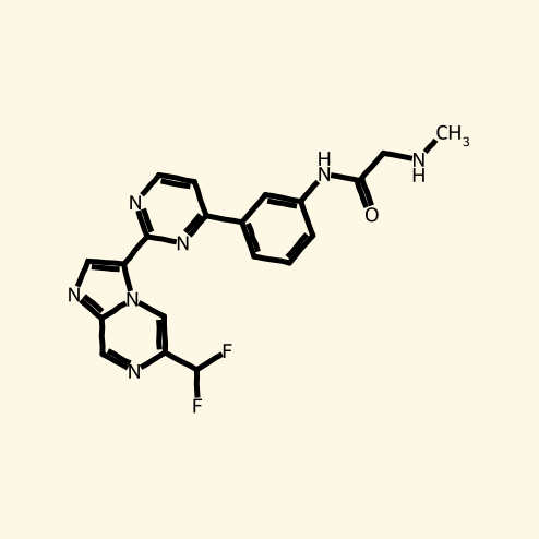 CNCC(=O)Nc1cccc(-c2ccnc(-c3cnc4cnc(C(F)F)cn34)n2)c1